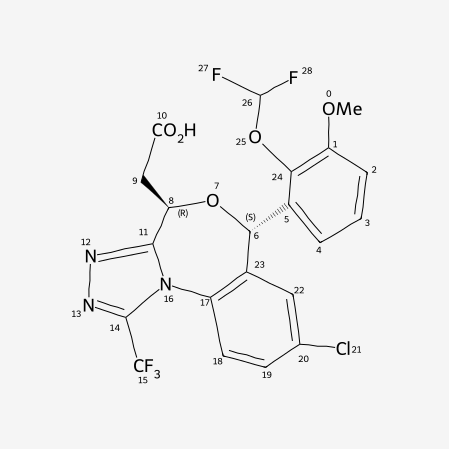 COc1cccc([C@H]2O[C@H](CC(=O)O)c3nnc(C(F)(F)F)n3-c3ccc(Cl)cc32)c1OC(F)F